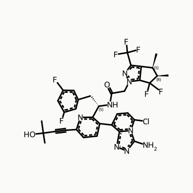 C[C@@H]1c2c(C(F)(F)F)nn(CC(=O)N[C@@H](Cc3cc(F)cc(F)c3)c3nc(C#CC(C)(C)O)ccc3-c3ccc(Cl)n4c(N)nnc34)c2C(F)(F)[C@@H]1C